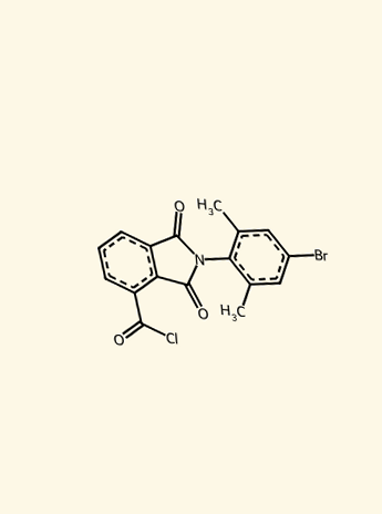 Cc1cc(Br)cc(C)c1N1C(=O)c2cccc(C(=O)Cl)c2C1=O